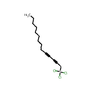 CCCCCCCCCC#CC#CC[Si](Cl)(Cl)Cl